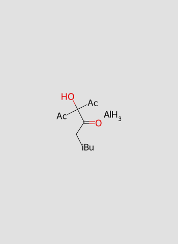 CCC(C)CC(=O)C(O)(C(C)=O)C(C)=O.[AlH3]